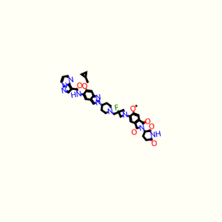 COc1cc2c(cc1N1CC(F)(CN3CCC(n4cc5cc(NC(=O)c6cnn7cccnc67)c(OCC6CC6)cc5n4)CC3)C1)C(=O)N(C1CCC(=O)NC1=O)C2=O